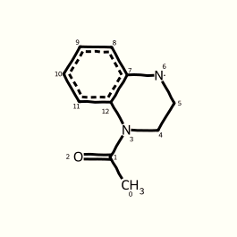 CC(=O)N1CC[N]c2ccccc21